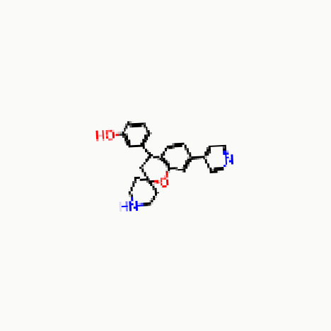 Oc1cccc(C2CC3(CCNCC3)Oc3cc(-c4ccncc4)ccc32)c1